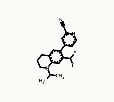 CC(C)N1CCCc2cc(-c3ccnc(C#N)c3)c(C(F)F)cc21